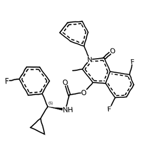 Cc1c(OC(=O)N[C@H](c2cccc(F)c2)C2CC2)c2c(F)ccc(F)c2c(=O)n1-c1ccccc1